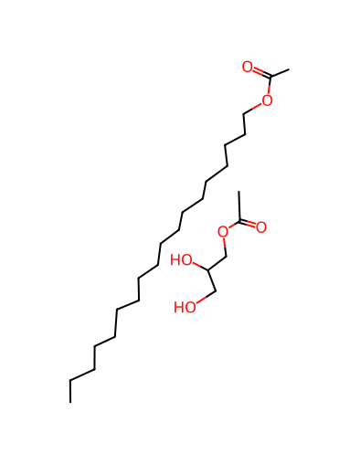 CC(=O)OCC(O)CO.CCCCCCCCCCCCCCCCCCOC(C)=O